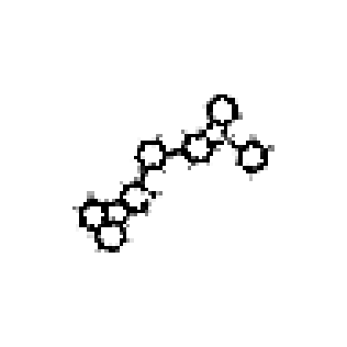 c1ccc(-n2c3ccccc3c3cc(-c4cccc(-c5cc6c(cn5)-c5cccc7cccc-6c57)c4)ccc32)cc1